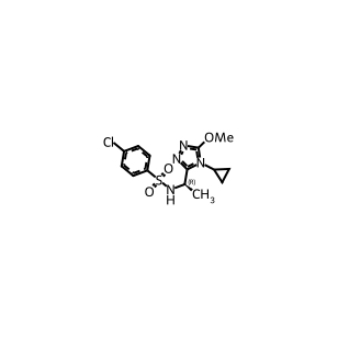 COc1nnc([C@@H](C)NS(=O)(=O)c2ccc(Cl)cc2)n1C1CC1